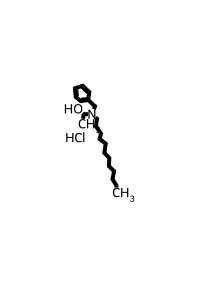 CCCCCCCCCCCCN(Cc1ccccc1)C(C)O.Cl